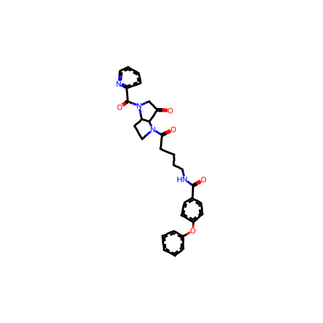 O=C(NCCCCC(=O)N1CCC2C1C(=O)CN2C(=O)c1ccccn1)c1ccc(Oc2ccccc2)cc1